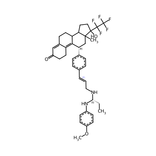 CC[C@@H](NC/C=C/c1ccc([C@H]2CC3(C)C(CCC3(O)C(F)(F)C(F)(F)F)C3CCC4=CC(=O)CCC4=C32)cc1)Nc1ccc(OC)cc1